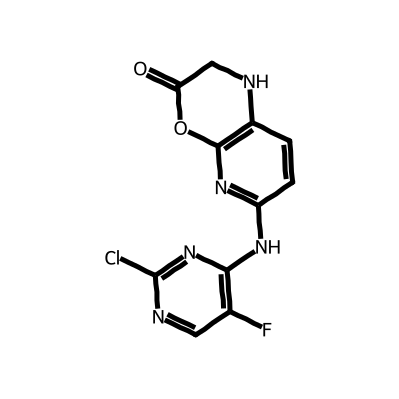 O=C1CNc2ccc(Nc3nc(Cl)ncc3F)nc2O1